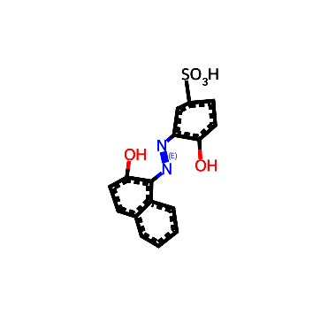 O=S(=O)(O)c1ccc(O)c(/N=N/c2c(O)ccc3ccccc23)c1